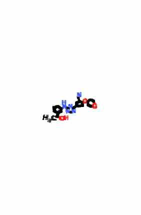 CC(O)c1cccc(Nc2ncnc(-c3ccc(OC4CCOCC4)c(C#N)c3)n2)c1